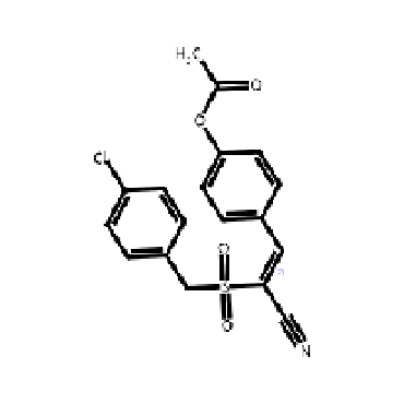 CC(=O)Oc1ccc(/C=C(/C#N)S(=O)(=O)Cc2ccc(Cl)cc2)cc1